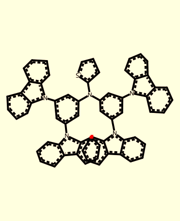 c1csc(N(c2cc(-n3c4ccccc4c4ccccc43)cc(-n3c4ccccc4c4ccccc43)c2)c2cc(-n3c4ccccc4c4ccccc43)cc(-n3c4ccccc4c4ccccc43)c2)c1